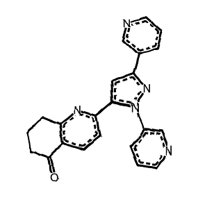 O=C1CCCc2nc(-c3cc(-c4cccnc4)nn3-c3cccnc3)ccc21